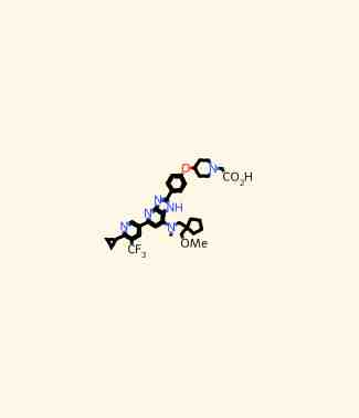 COCC1(CN(C)c2cc(-c3cnc(C4CC4)c(C(F)(F)F)c3)nc3nc(-c4ccc(OC5CCN(CC(=O)O)CC5)cc4)[nH]c23)CCCC1